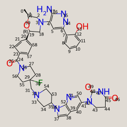 C[C@H]1CN(c2cc(-c3ccccc3O)nnc2N)C[C@@H](c2ccc(C(=O)N3CCC(F)(CN4CCC(n5ccc6cc(N7CCC(=O)NC7=O)cnc65)CC4)CC3)cc2)O1